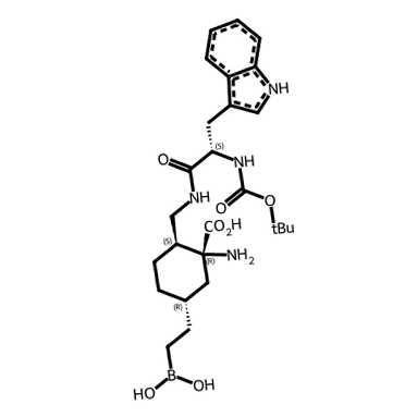 CC(C)(C)OC(=O)N[C@@H](Cc1c[nH]c2ccccc12)C(=O)NC[C@@H]1CC[C@@H](CCB(O)O)C[C@]1(N)C(=O)O